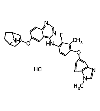 Cc1c(Oc2ccc3c(c2)ncn3C)ccc(Nc2ncnc3ccc(OC4CC5CCC(C4)N5)cc23)c1F.Cl